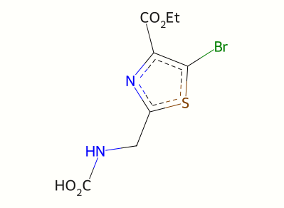 CCOC(=O)c1nc(CNC(=O)O)sc1Br